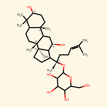 CC(C)=CCC[C@](C)(OC1OC(CO)C(O)C(O)C1O)C1CC[C@]2(C)C1[C@H](O)CC1[C@@]3(C)CC[C@H](O)C(C)(C)C3CC[C@]12C